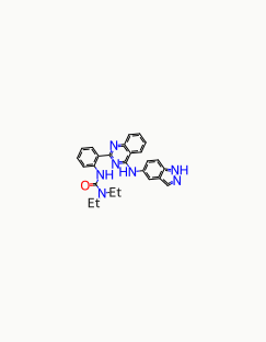 CCN(CC)C(=O)Nc1ccccc1-c1nc(Nc2ccc3[nH]ncc3c2)c2ccccc2n1